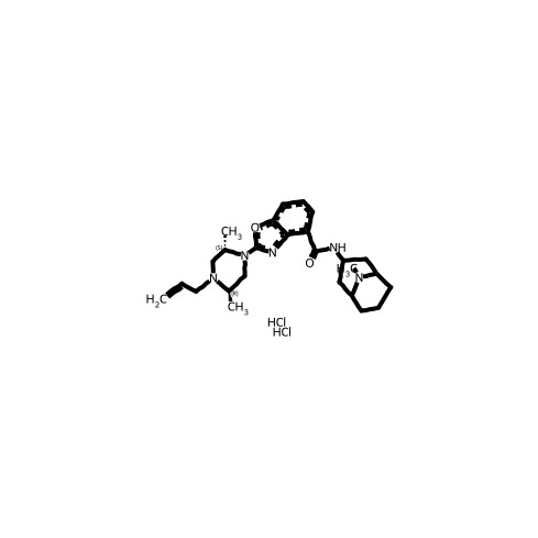 C=CCN1C[C@H](C)N(c2nc3c(C(=O)NC4CC5CCCC(C4)N5C)cccc3o2)C[C@H]1C.Cl.Cl